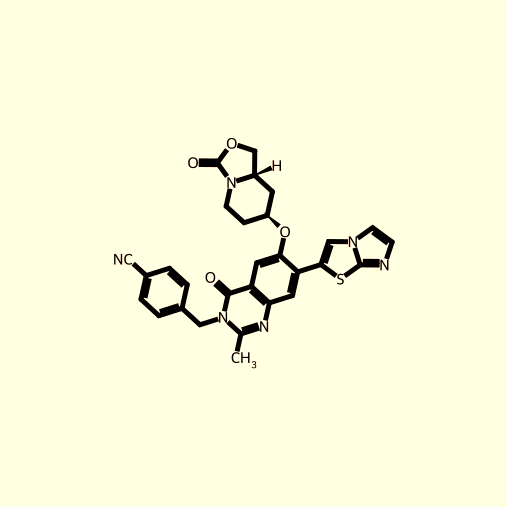 Cc1nc2cc(-c3cn4ccnc4s3)c(O[C@H]3CCN4C(=O)OC[C@@H]4C3)cc2c(=O)n1Cc1ccc(C#N)cc1